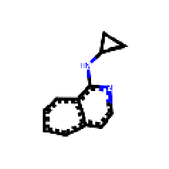 c1ccc2c(NC3CC3)nccc2c1